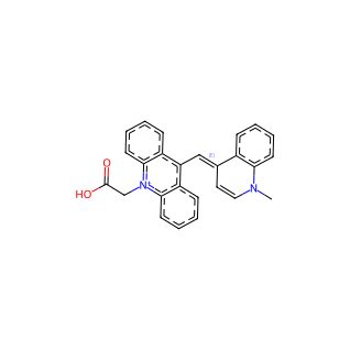 CN1C=C/C(=C\c2c3ccccc3[n+](CC(=O)O)c3ccccc23)c2ccccc21